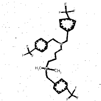 C[N+](C)(CCCCN(Cc1ccc(C(F)(F)F)cc1)Cc1ccc(C(F)(F)F)cc1)Cc1ccc(C(F)(F)F)cc1